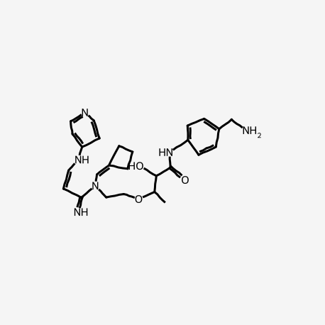 CC(OCCN(C=C1CCC1)C(=N)/C=C\Nc1ccncc1)C(O)C(=O)Nc1ccc(CN)cc1